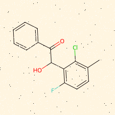 [CH2]c1ccc(F)c(C(O)C(=O)c2ccccc2)c1Cl